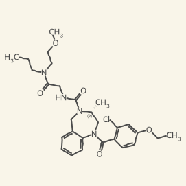 CCCN(CCOC)C(=O)CNC(=O)N1Cc2ccccc2N(C(=O)c2ccc(OCC)cc2Cl)C[C@H]1C